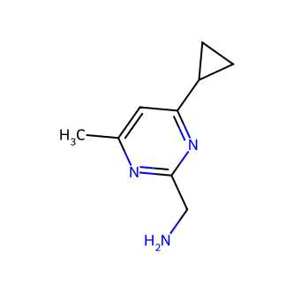 Cc1cc(C2CC2)nc(CN)n1